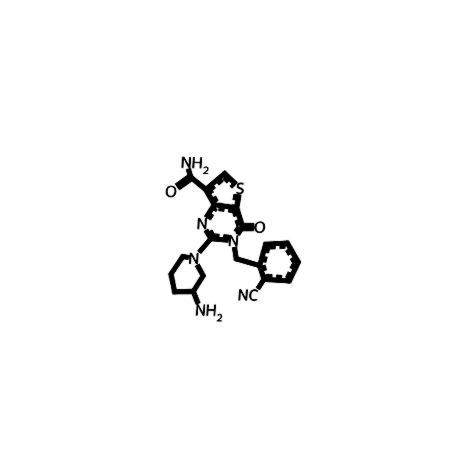 N#Cc1ccccc1Cn1c(N2CCCC(N)C2)nc2c(C(N)=O)csc2c1=O